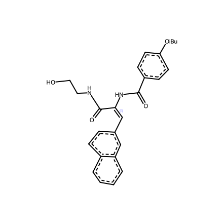 CC(C)COc1ccc(C(=O)N/C(=C/c2ccc3ccccc3c2)C(=O)NCCO)cc1